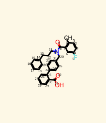 Cc1ccc(F)cc1C(=O)N(CCCc1ccccc1)Cc1ccc(-c2ccccc2C(=O)O)cc1